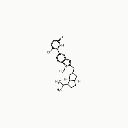 CCc1ccc(=O)[nH]c1-c1ccc2c(c1)cc(CN1C[C@H]3CC[C@@H](N(C)C)[C@H]3C1)n2C